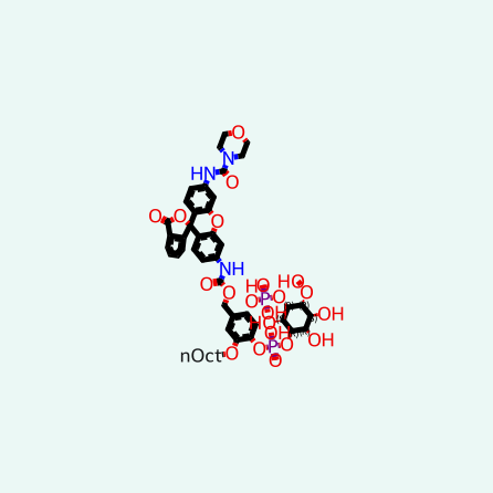 CCCCCCCCOc1cc(COC(=O)Nc2ccc3c(c2)Oc2cc(NC(=O)N4CCOCC4)ccc2C32OC(=O)c3ccccc32)ccc1OP(=O)(O)O[C@@H]1[C@H](O)[C@H](O)[C@@H](OO)[C@H](OP(=O)(O)O)[C@H]1O